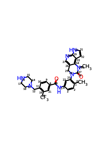 Cc1ccc(NC(=O)c2ccc(CN3CCNCC3)c(C(F)(F)F)c2)cc1N1Cc2cnc3[nH]ccc3c2N(C)C1=O